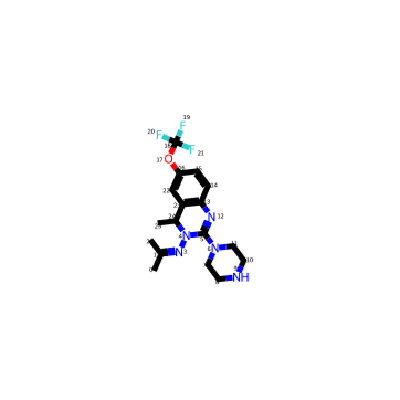 CC(C)=NN1C(N2CCNCC2)=Nc2ccc(OC(F)(F)F)cc2C1C